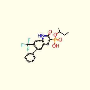 CCC(C)OP(=O)(O)c1cc2cc(-c3ccccc3)c(C(F)(F)F)cc2[nH]c1=O